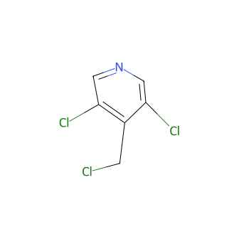 ClCc1c(Cl)cncc1Cl